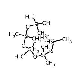 C[SiH](C)S[Si](C)(C)O[Si](C)(C)O[Si](C)(C)O[Si](C)(C)O